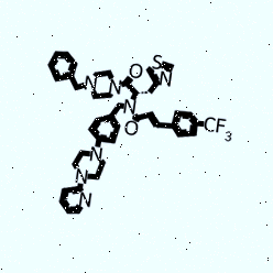 O=C([C@H](Cc1cscn1)N(Cc1ccc(N2CCN(c3ccccn3)CC2)cc1)C(=O)/C=C/c1ccc(C(F)(F)F)cc1)N1CCN(Cc2ccccc2)CC1